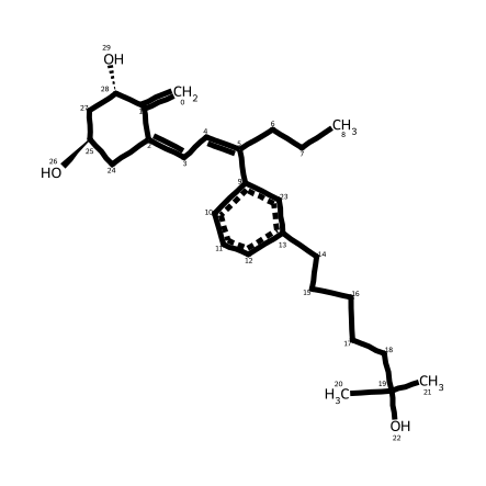 C=C1/C(=C\C=C(\CCC)c2cccc(CCCCCC(C)(C)O)c2)C[C@@H](O)C[C@@H]1O